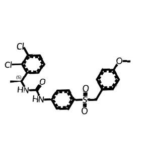 COc1ccc(CS(=O)(=O)c2ccc(NC(=O)N[C@@H](C)c3cccc(Cl)c3Cl)cc2)cc1